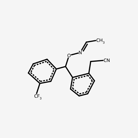 CC=NOC(c1cccc(C(F)(F)F)c1)c1ccccc1CC#N